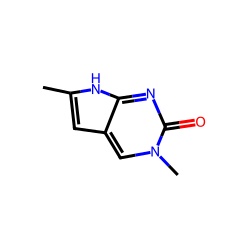 Cc1cc2cn(C)c(=O)nc2[nH]1